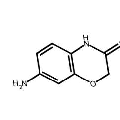 Nc1ccc2c(c1)OCC(=S)N2